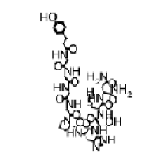 NC(=O)C[C@H](NC(=O)[C@H](CS)NC(=O)[C@H](CO)NC(=O)[C@H](Cc1c[nH]cn1)NC(=O)[C@@H]1CCCN1C(=O)CNC(=O)CNC(=O)CNC(=O)CNC(=O)CCc1ccc(O)cc1)C(N)=O